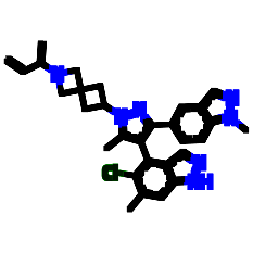 C=CC(=C)N1CC2(CC(n3nc(-c4ccc5c(cnn5C)c4)c(-c4c(Cl)c(C)cc5[nH]ncc45)c3C)C2)C1